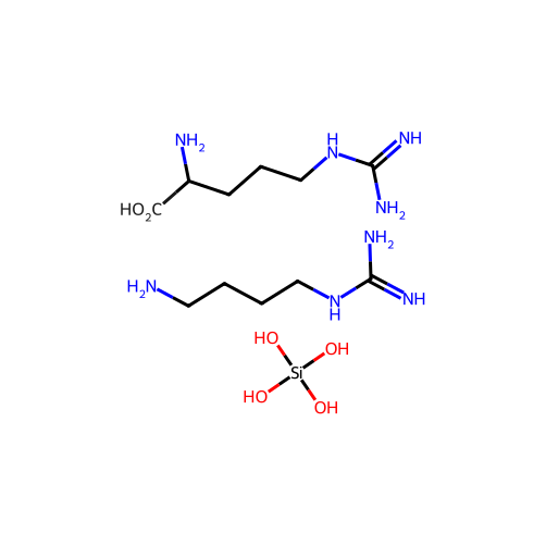 N=C(N)NCCCC(N)C(=O)O.N=C(N)NCCCCN.O[Si](O)(O)O